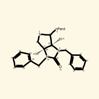 CCCCCC1SC[C@H]2[C@@H]1N(Cc1ccccc1)C(=O)N2Cc1ccccc1